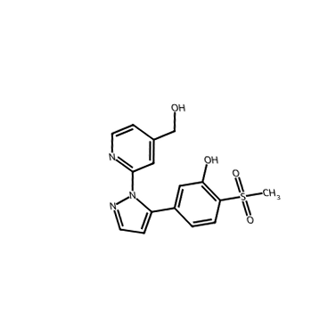 CS(=O)(=O)c1ccc(-c2ccnn2-c2cc(CO)ccn2)cc1O